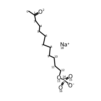 CC(=O)CCCCCCCCCCOS(=O)(=O)[O-].[Na+]